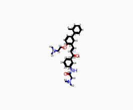 Cc1ccccc1-c1ccc(OCCN(C)C)c(/C=C/C(=O)c2cccc(NC(=O)CN(C)C)c2)c1